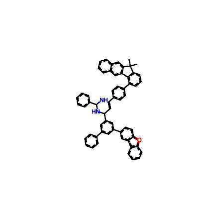 CC1(C)c2cc3ccccc3cc2-c2c(-c3ccc(/C=C/C(NC(N)c4ccccc4)c4cc(-c5ccccc5)cc(-c5ccc6oc7ccccc7c6c5)c4)cc3)cccc21